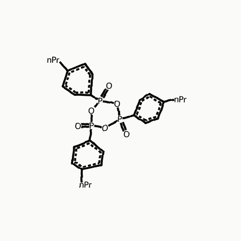 CCCc1ccc(P2(=O)OP(=O)(c3ccc(CCC)cc3)OP(=O)(c3ccc(CCC)cc3)O2)cc1